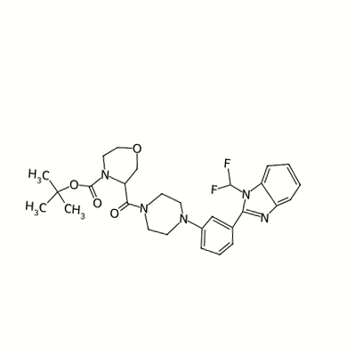 CC(C)(C)OC(=O)N1CCOCC1C(=O)N1CCN(c2cccc(-c3nc4ccccc4n3C(F)F)c2)CC1